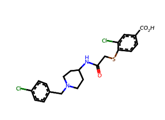 O=C(CSc1ccc(C(=O)O)cc1Cl)NC1CCN(Cc2ccc(Cl)cc2)CC1